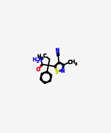 CCC(C(N)=O)(c1ccccc1)c1snc(C)c1C#N